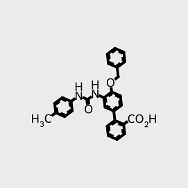 Cc1ccc(NC(=O)Nc2cc(-c3ccccc3C(=O)O)ccc2OCc2ccccc2)cc1